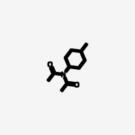 CC(=O)N(C(C)=O)C1CCC(C)CC1